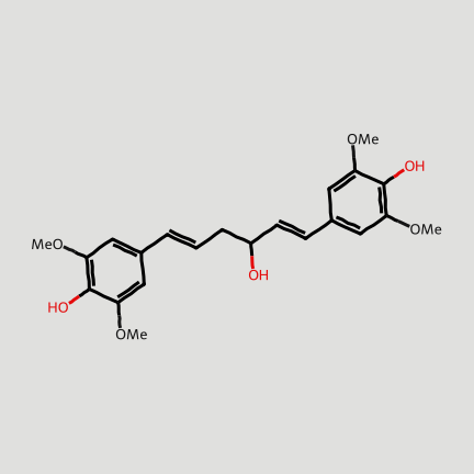 COc1cc(C=CC(O)C/C=C/c2cc(OC)c(O)c(OC)c2)cc(OC)c1O